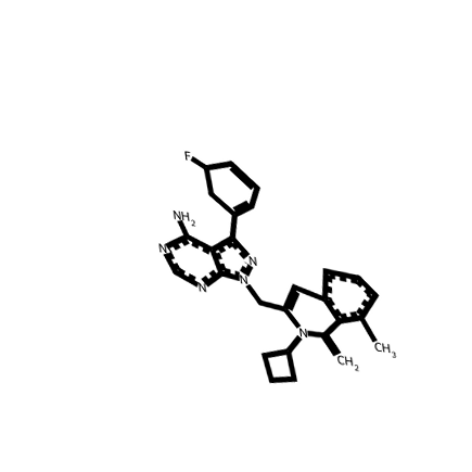 C=C1c2c(C)cccc2C=C(Cn2nc(C3=CC=CC(F)C3)c3c(N)ncnc32)N1C1CCC1